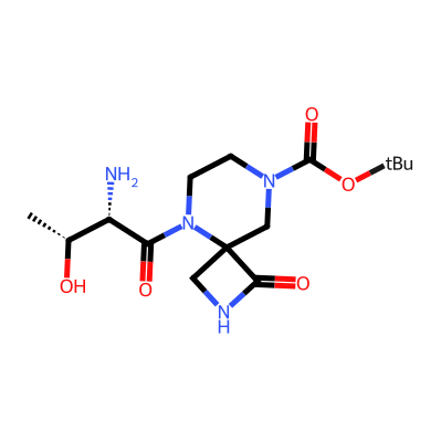 C[C@@H](O)[C@H](N)C(=O)N1CCN(C(=O)OC(C)(C)C)CC12CNC2=O